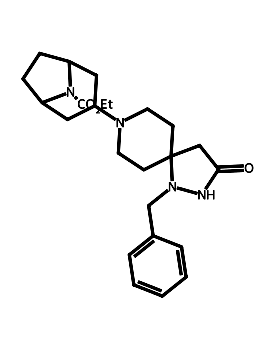 CCOC(=O)N1C2CCC1CC(N1CCC3(CC1)CC(=O)NN3Cc1ccccc1)C2